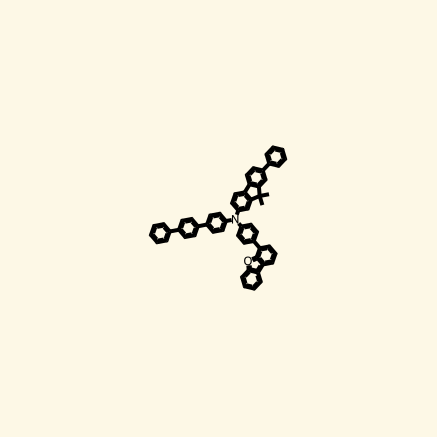 CC1(C)c2cc(-c3ccccc3)ccc2-c2ccc(N(c3ccc(-c4ccc(-c5ccccc5)cc4)cc3)c3ccc(-c4cccc5c4oc4ccccc45)cc3)cc21